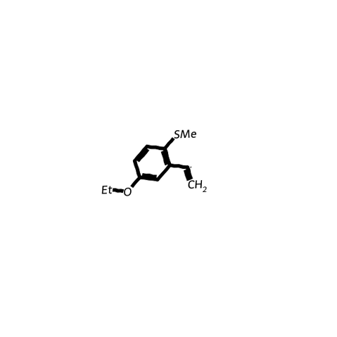 C=[C]c1cc(OCC)ccc1SC